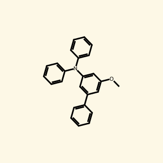 COc1cc(-c2ccccc2)cc(N(c2ccccc2)c2ccccc2)c1